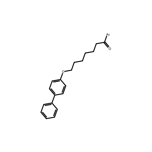 CC(=O)C(=O)CCCCCCOc1ccc(-c2ccccc2)cc1